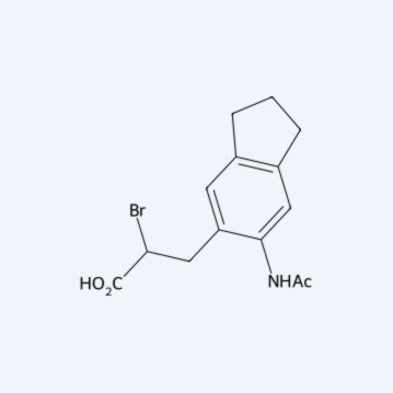 CC(=O)Nc1cc2c(cc1CC(Br)C(=O)O)CCC2